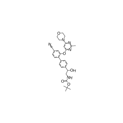 Cc1nc(Oc2cc(C#N)ccc2-c2ccc(C(O)CNC(=O)OC(C)(C)C)cc2)cc(N2CCOCC2)n1